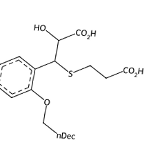 CCCCCCCCCCCOc1ccccc1C(SCCC(=O)O)C(O)C(=O)O